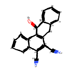 N#Cc1c2c(c3ccccc3c1C#N)C(=O)c1ccccc1C2